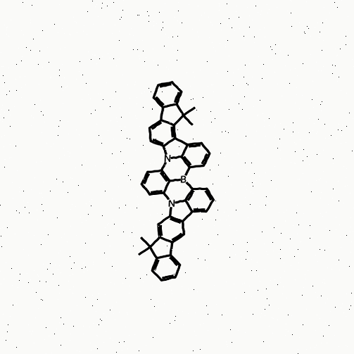 CC1(C)c2ccccc2-c2cc3c4cccc5c4n(c3cc21)-c1cccc2c1B5c1cccc3c4c5c(ccc4n-2c13)-c1ccccc1C5(C)C